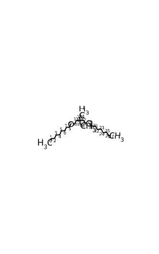 CCCCCCCCCOCCC(CC)(CC)CCOCCCCCCCC